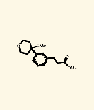 COC(=S)CCc1cccc(C2(OC)CCOCC2)c1